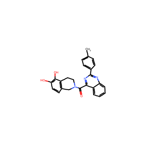 Cc1ccc(-c2nc(C(=O)N3CCc4c(ccc(O)c4O)C3)c3ccccc3n2)cc1